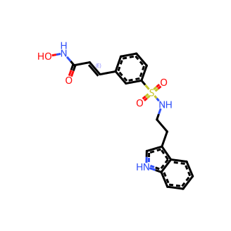 O=C(/C=C/c1cccc(S(=O)(=O)NCCc2c[nH]c3ccccc23)c1)NO